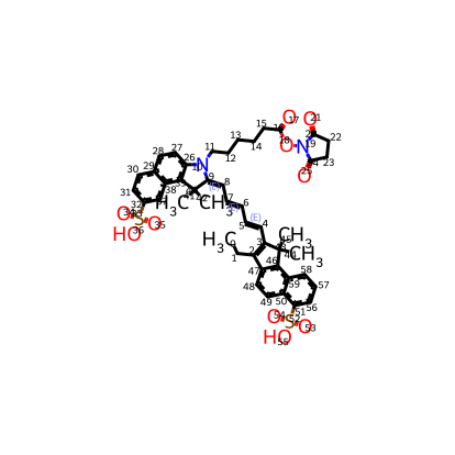 CCC1=C(/C=C/C=C/C=C2/N(CCCCCC(=O)ON3C(=O)CCC3=O)c3ccc4ccc(S(=O)(=O)O)cc4c3C2(C)C)C(C)(C)c2c1ccc1c(S(=O)(=O)O)cccc21